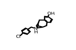 Oc1ccc2c(c1)CC1CCC(C2)C1NCc1ccc(Cl)cc1